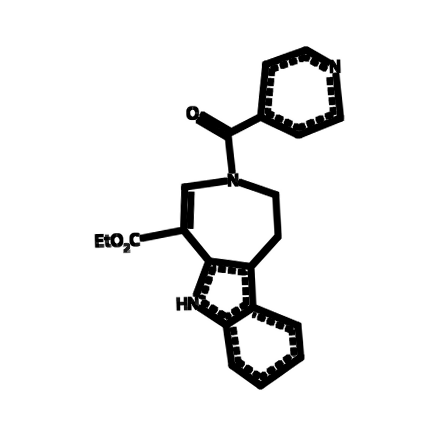 CCOC(=O)C1=CN(C(=O)c2ccncc2)CCc2c1[nH]c1ccccc21